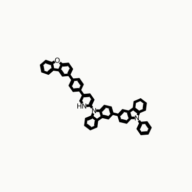 C1=Cc2c(c3cc(-c4ccc5c(c4)c4ccccc4n5C4=CC=C(c5ccc(-c6ccc7oc8ccccc8c7c6)cc5)CN4)ccc3n2-c2ccccc2)CC1